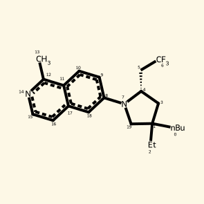 CCCCC1(CC)C[C@@H](CC(F)(F)F)N(c2ccc3c(C)nccc3c2)C1